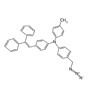 Cc1ccc(N(c2ccc(C=C(c3ccccc3)c3ccccc3)cc2)c2ccc(CN=[N+]=[N-])cc2)cc1